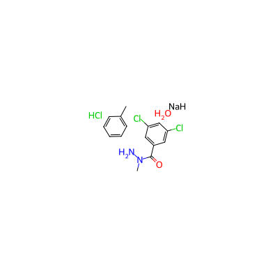 CN(N)C(=O)c1cc(Cl)cc(Cl)c1.Cc1ccccc1.Cl.O.[NaH]